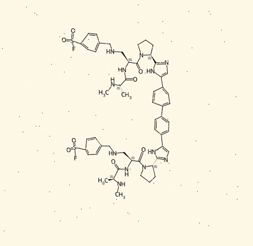 CN[C@@H](C)C(=O)N[C@@H](CNCc1ccc(S(=O)(=O)F)cc1)C(=O)N1CCC[C@H]1c1ncc(-c2ccc(-c3ccc(-c4cnc([C@@H]5CCCN5C(=O)[C@H](CNCc5ccc(S(=O)(=O)F)cc5)NC(=O)[C@H](C)NC)[nH]4)cc3)cc2)[nH]1